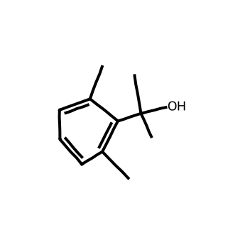 Cc1cccc(C)c1C(C)(C)O